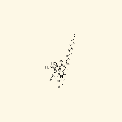 CCCCCCCCCCCCN(CCCN(CCCC)CCCC)C(=O)C(O)C(O)C(N)=O